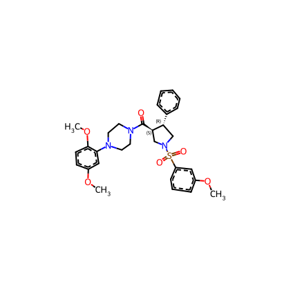 COc1cccc(S(=O)(=O)N2C[C@@H](C(=O)N3CCN(c4cc(OC)ccc4OC)CC3)[C@H](c3ccccc3)C2)c1